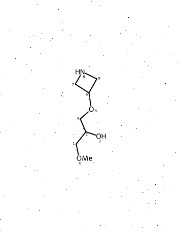 COCC(O)COC1CNC1